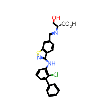 O=C(O)[C@H](CO)N=Cc1ccc2c(Nc3cccc(-c4ccccc4)c3Cl)nsc2c1